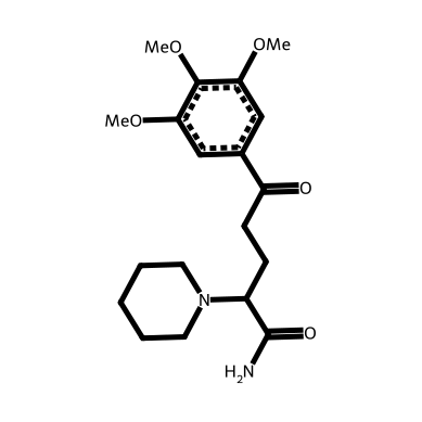 COc1cc(C(=O)CCC(C(N)=O)N2CCCCC2)cc(OC)c1OC